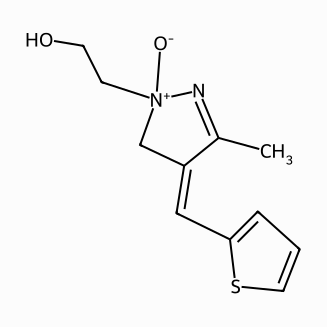 CC1=N[N+]([O-])(CCO)C/C1=C/c1cccs1